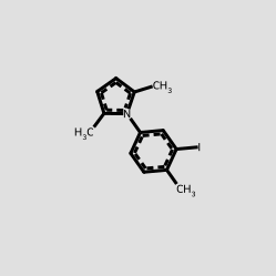 Cc1ccc(-n2c(C)ccc2C)cc1I